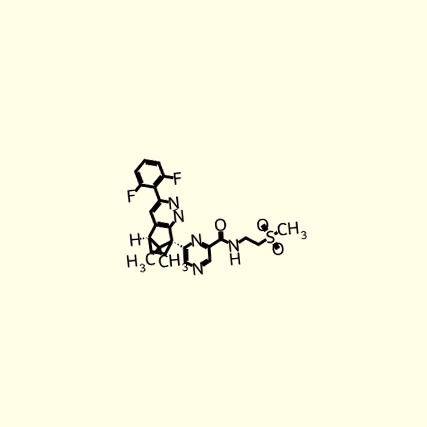 CC1(C)[C@H]2CC[C@]1(c1cncc(C(=O)NCCS(C)(=O)=O)n1)c1nnc(-c3c(F)cccc3F)cc12